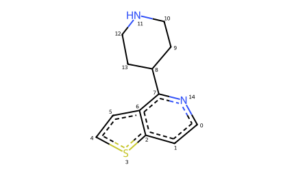 c1cc2sccc2c(C2CCNCC2)n1